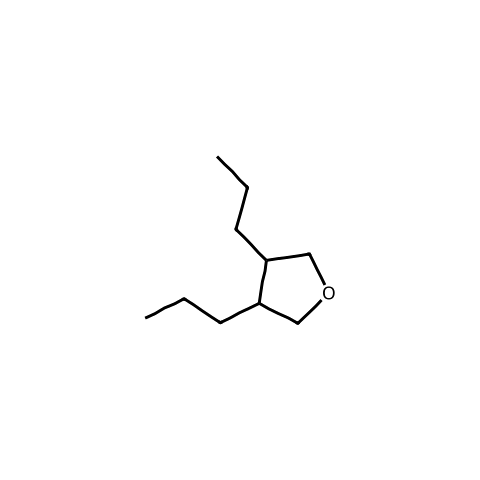 CCCC1COCC1CCC